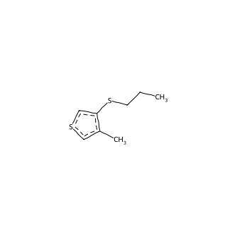 CCCSc1cscc1C